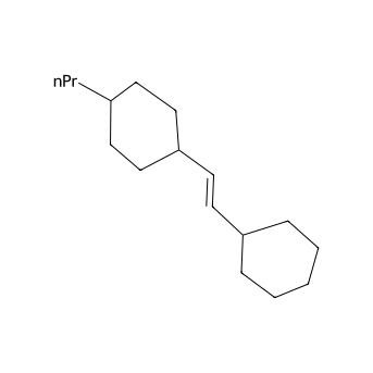 CCCC1CCC(/C=C/C2CCCCC2)CC1